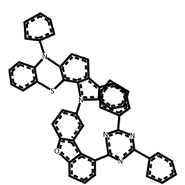 c1ccc(-c2nc(-c3ccccc3)nc(-c3cccc4oc5ccc(-n6c7ccccc7c7ccc8c(c76)Sc6ccccc6N8c6ccccc6)cc5c34)n2)cc1